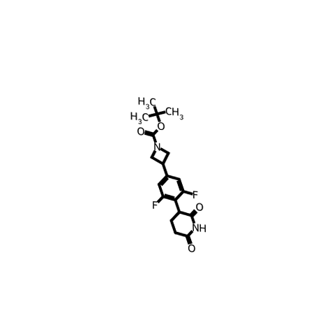 CC(C)(C)OC(=O)N1CC(c2cc(F)c(C3CCC(=O)NC3=O)c(F)c2)C1